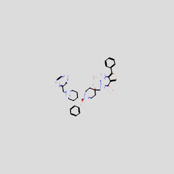 O=C([C@@H]1CCN(Cc2cnccn2)C[C@H]1c1ccccc1)N1CCC(O)(Cn2cnc3c(-c4ccccc4)scc3c2=O)CC1